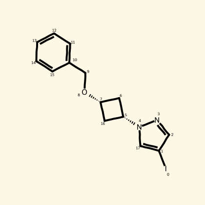 Ic1cnn([C@H]2C[C@@H](OCc3ccccc3)C2)c1